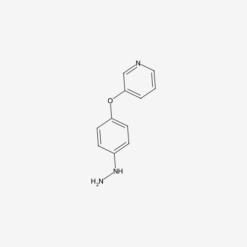 NNc1ccc(Oc2cccnc2)cc1